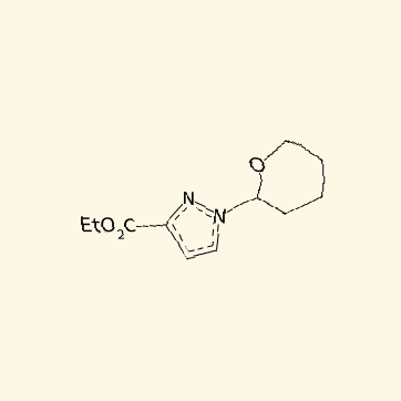 CCOC(=O)c1ccn(C2CCCCO2)n1